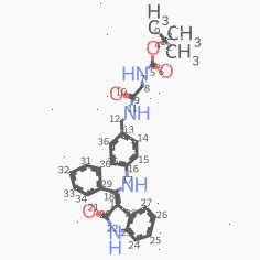 CC(C)(C)OC(=O)NCC(=O)NCc1ccc(NC(=C2C(=O)Nc3ccccc32)c2ccccc2)cc1